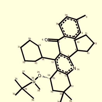 Cc1ccc(C(=O)c2c(C3CCCC3)nc3c(c2C2CCCCC2)[C@@H](O[Si](C)(C)C(C)(C)C)CC(C)(C)C3)cc1